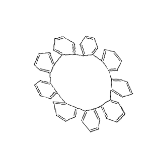 c1ccc2c(c1)c1ccccc1c1ccccc1c1ccccc1c1ccccc1c1ccccc1c1ccccc1c1ccccc1c1ccccc21